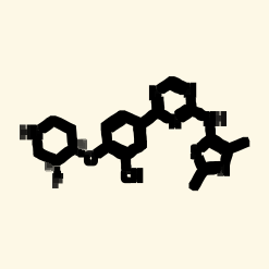 Cc1nc(C)c(Nc2ncnc(-c3ccc(O[C@H]4CCNC[C@H]4F)c(C#N)c3)n2)s1